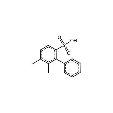 Cc1ccc(S(=O)(=O)O)c(-c2ccccc2)c1C